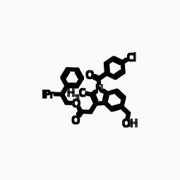 Cc1c(CC(=O)OCC(c2ccccc2)C(C)C)c2cc(CO)ccc2n1C(=O)c1ccc(Cl)cc1